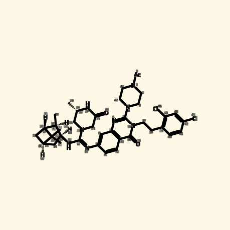 CC(=O)N1CCN(c2nc3cc(N=C(N[C@H]4C[C@H]5C[C@H]([C@H]4C)C5(C)C)N4CC(=O)N[C@@H](C)C4)ccc3c(=O)n2CCc2ccc(Cl)cc2Cl)CC1